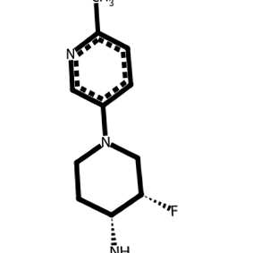 Cc1ccc(N2CC[C@@H](N)[C@@H](F)C2)cn1